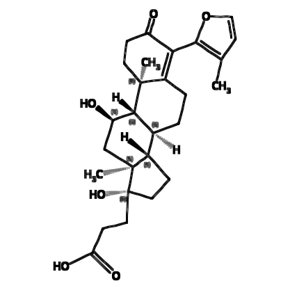 Cc1ccoc1C1=C2CC[C@@H]3[C@H]([C@H](O)C[C@@]4(C)[C@H]3CC[C@@]4(O)CCC(=O)O)[C@@]2(C)CCC1=O